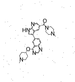 CN1CCC(Oc2ncnc3ccc(-c4c[nH]c5ncc(C(=O)N6CCN(C)CC6)cc45)cc23)CC1